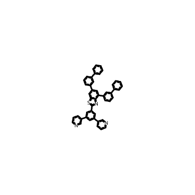 c1ccc(-c2cccc(-c3cc(-c4cccc(-c5ccccc5)c4)c4nc(-c5cc(-c6cccnc6)cc(-c6cccnc6)c5)sc4c3)c2)cc1